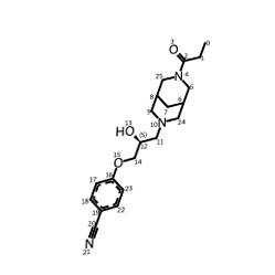 CCC(=O)N1CC2CC(CN(C[C@H](O)COc3ccc(C#N)cc3)C2)C1